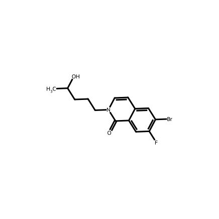 CC(O)CCCn1ccc2cc(Br)c(F)cc2c1=O